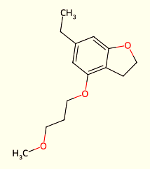 CCc1cc(OCCCOC)c2c(c1)OCC2